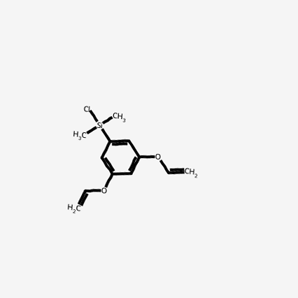 C=COc1cc(OC=C)cc([Si](C)(C)Cl)c1